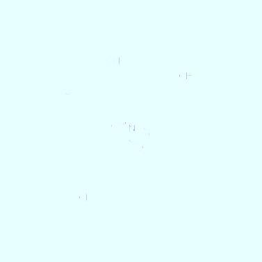 CCCCCCCCC(=O)N(C(=O)CCCCCCC)C(=O)CCCCCCC.Cl